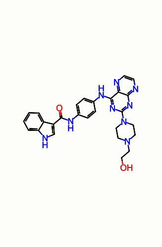 O=C(Nc1ccc(Nc2nc(N3CCN(CCO)CC3)nc3nccnc23)cc1)c1c[nH]c2ccccc12